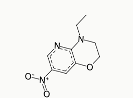 CCN1CCOc2cc([N+](=O)[O-])cnc21